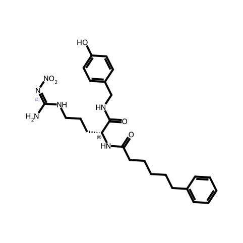 N/C(=N/[N+](=O)[O-])NCCC[C@@H](NC(=O)CCCCCc1ccccc1)C(=O)NCc1ccc(O)cc1